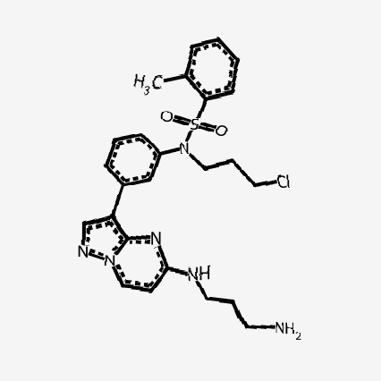 Cc1ccccc1S(=O)(=O)N(CCCCl)c1cccc(-c2cnn3ccc(NCCCN)nc23)c1